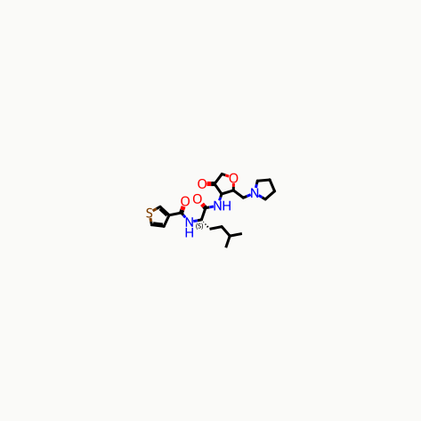 CC(C)CC[C@H](NC(=O)c1ccsc1)C(=O)NC1C(=O)COC1CN1CCCC1